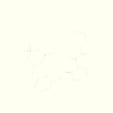 C=C1CC(Nc2nccc(-c3cc4cccc(C(=O)NCCN(CC)CC)c4s3)n2)CC(C)(C)N1